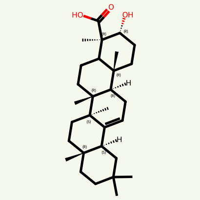 CC1(C)CC[C@]2(C)CC[C@]3(C)C(=CC[C@@H]4[C@@]5(C)CC[C@@H](O)[C@](C)(C(=O)O)C5CC[C@]43C)[C@H]2C1